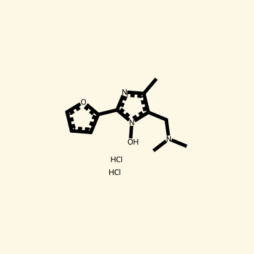 Cc1nc(-c2ccco2)n(O)c1CN(C)C.Cl.Cl